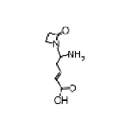 NC(CC=CC(=O)O)N1CCC1=O